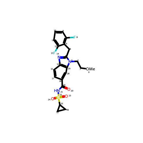 COCCn1c(Cc2c(F)cccc2F)nc2ccc(C(=O)NS(=O)(=O)C3CC3)cc21